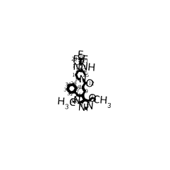 COc1ncnc2c1c(/C=C/C(=O)N1CCc3nc(C(F)(F)F)[nH]c3C1)c(-c1ccccc1)n2C